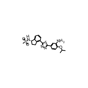 CC(C)Oc1ccc(-c2nnc(-c3cccc4c3CC[C@@H]4NS(C)(=O)=O)s2)cc1N